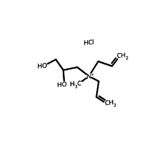 C=CC[N+](C)(CC=C)CC(O)CO.Cl